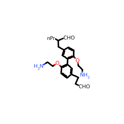 CCCC(C=O)Cc1ccc(OCCN)c(-c2cc(CCC=O)ccc2OCCN)c1